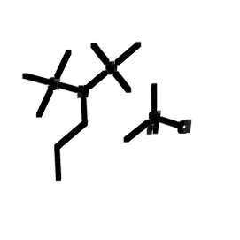 CCCN([Si](C)(C)C)[Si](C)(C)C.C[SiH](C)Cl